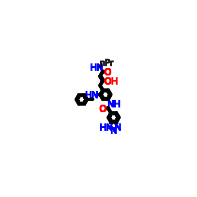 CCCNC(=O)C=C(O)Cc1ccc(NC(=O)c2ccc3nn[nH]c3c2)cc1NCc1ccccc1